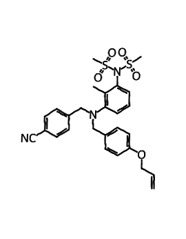 C=CCOc1ccc(CN(Cc2ccc(C#N)cc2)c2cccc(N(S(C)(=O)=O)S(C)(=O)=O)c2C)cc1